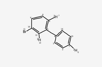 [2H]c1ccc(-c2c([2H])ccc(Br)c2[2H])cc1